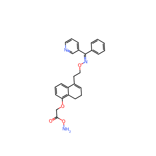 NOC(=O)COc1cccc2c1CCC=C2CCO/N=C(/c1ccccc1)c1cccnc1